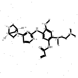 C=CC(=O)Nc1cc(Nc2nccc(N3C[C@@H]4C[C@H]3CO4)n2)c(OC)cc1N(C)CCN(C)C